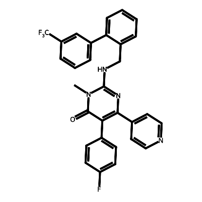 Cn1c(NCc2ccccc2-c2cccc(C(F)(F)F)c2)nc(-c2ccncc2)c(-c2ccc(F)cc2)c1=O